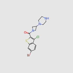 O=C(c1sc2cc(Br)ccc2c1Cl)N1CC(N2CCNCC2)C1